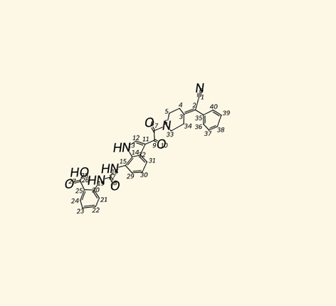 N#CC(=C1CCN(C(=O)C(=O)c2c[nH]c3c(NC(=O)Nc4ccccc4C(=O)O)cccc23)CC1)c1ccccc1